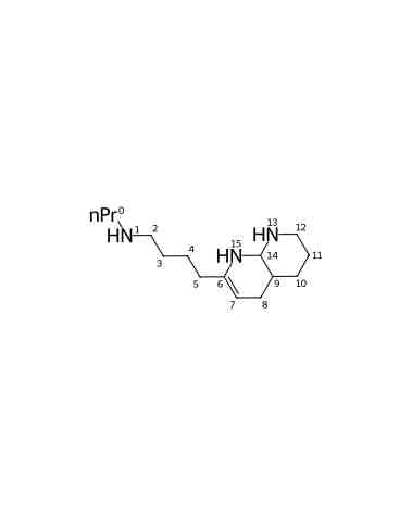 CCCNCCCCC1=CCC2CCCNC2N1